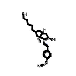 [N-]=[N+]=Nc1ccc(/C=C/[C@@H]2[C@H]3CC(CCCCCO)C[C@H]3C[C@H]2O)cc1